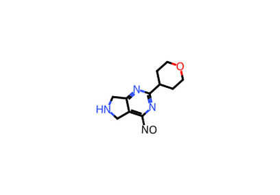 O=Nc1nc(C2CCOCC2)nc2c1CNC2